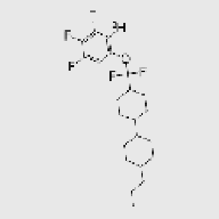 [2H]c1c(OC(F)(F)C2CCC(C3CCC(CCC)CC3)CC2)cc(F)c(F)c1F